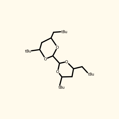 CC(C)(C)CC1CC(C(C)(C)C)OC(C2OC(CC(C)(C)C)CC(C(C)(C)C)O2)O1